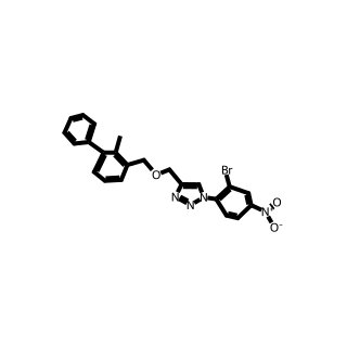 Cc1c(COCc2cn(-c3ccc([N+](=O)[O-])cc3Br)nn2)cccc1-c1ccccc1